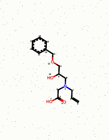 C=CCN(CC(=O)O)CC(O)COCc1ccccc1